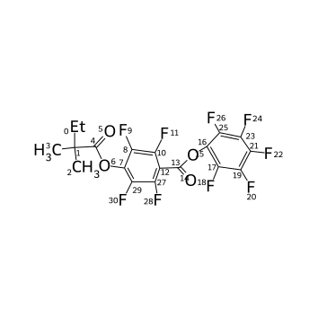 CCC(C)(C)C(=O)Oc1c(F)c(F)c(C(=O)Oc2c(F)c(F)c(F)c(F)c2F)c(F)c1F